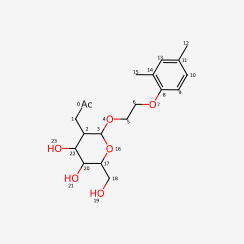 CC(=O)CC1C(OCCOc2ccc(C)cc2C)OC(CO)C(O)C1O